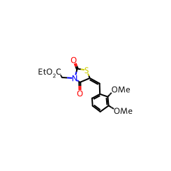 CCOC(=O)CN1C(=O)S/C(=C/c2cccc(OC)c2OC)C1=O